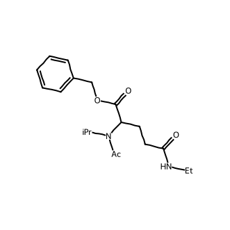 CCNC(=O)CCC(C(=O)OCc1ccccc1)N(C(C)=O)C(C)C